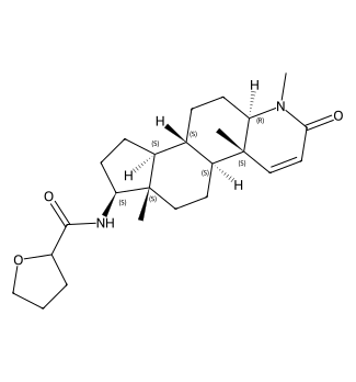 CN1C(=O)C=C[C@]2(C)[C@H]3CC[C@]4(C)[C@@H](NC(=O)C5CCCO5)CC[C@H]4[C@@H]3CC[C@@H]12